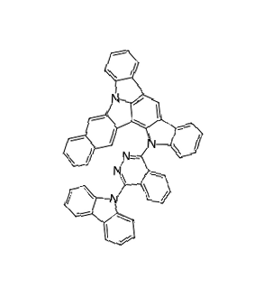 c1ccc2cc3c(cc2c1)c1c2c(cc4c5ccccc5n3c41)c1ccccc1n2-c1nnc(-n2c3ccccc3c3ccccc32)c2ccccc12